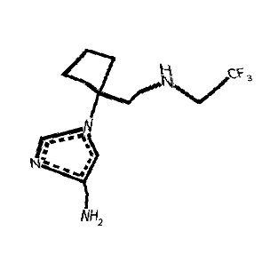 Nc1cn(C2(CNCC(F)(F)F)CCC2)cn1